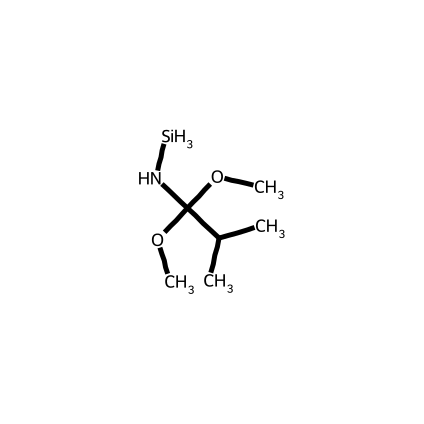 COC(N[SiH3])(OC)C(C)C